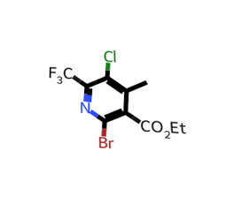 CCOC(=O)c1c(Br)nc(C(F)(F)F)c(Cl)c1C